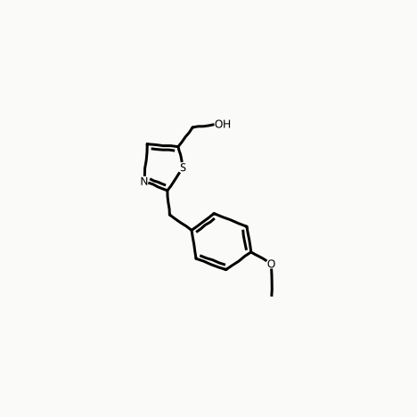 COc1ccc(Cc2ncc(CO)s2)cc1